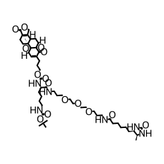 C[C@@H]1NC(=O)N[C@@H]1CCCCCC(=O)NCCCOCCOCCOCCCNC(=O)C(CCCCNC(=O)OC(C)(C)C)NC(=O)OCCCC1=C[C@@H]2O[C@@]23[C@@]2(C)CCC4=C(COC4=O)[C@@H]2C[C@@H]2O[C@@]23C1=O